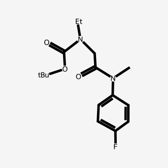 CCN(CC(=O)N(C)c1ccc(F)cc1)C(=O)OC(C)(C)C